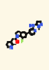 Cc1ncccc1CC(=O)N1CCc2cc(-c3ccnc(Nc4ccnn4C)c3)cc(F)c21